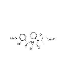 CCCOC[C@@H](Oc1ccccc1)[C@H](C)OC(=O)[C@H](CC)NC(=O)c1nccc(OC)c1O